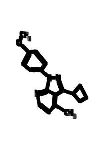 Cc1ccnc2c1c(C1CCC1)nn2-c1ccc(OC(F)(F)F)cc1